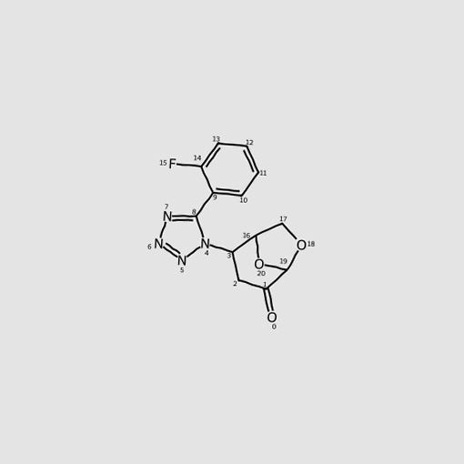 O=C1CC(n2nnnc2-c2ccccc2F)C2COC1O2